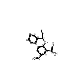 CCC(Oc1ccc(C=O)cc1C(=O)O)c1ccccc1